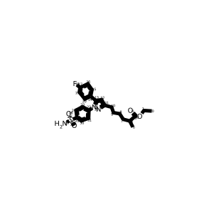 CCOC(=O)C(C)CCCCc1cc(-c2ccc(F)cc2)n(-c2ccc(S(N)(=O)=O)cc2)n1